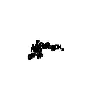 Cn1cc(-c2cccc(Oc3ccc(F)c(NC(=O)Nc4cc(N5CCOCC5)cc(C(F)(F)F)c4)c3)n2)cn1